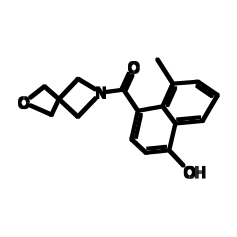 Cc1cccc2c(O)ccc(C(=O)N3CC4(COC4)C3)c12